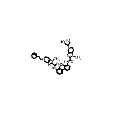 Cn1c(C(=O)Nc2cccc(-c3cccc(NC(=O)c4nc5c(n4C)CCN(C(CO)CO)C5)c3Cl)c2Cl)nc2c1CCN(CCC13CCC(CC1)C3)C2